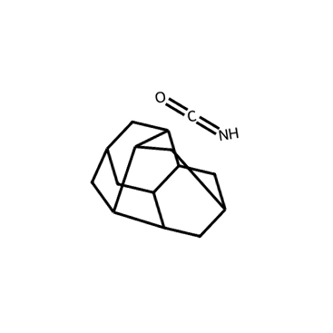 C1C2CC3C4CC5CC(C14)C(C2)C3C5.N=C=O